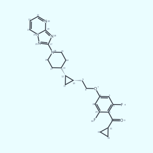 O=C(c1c(F)cc(OCC[C@@H]2C[C@@H]2C2CCN(c3nc4ncccn4n3)CC2)cc1F)C1CC1